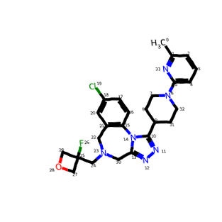 Cc1cccc(N2CCC(c3nnc4n3-c3ccc(Cl)cc3CN(CC3(F)COC3)C4)CC2)n1